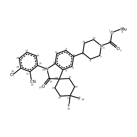 CC(C)(C)OC(=O)N1CCC(c2ccc3c(c2)C2(CCC(F)(F)CC2)C(=O)N3c2cccc(Cl)c2C#N)CC1